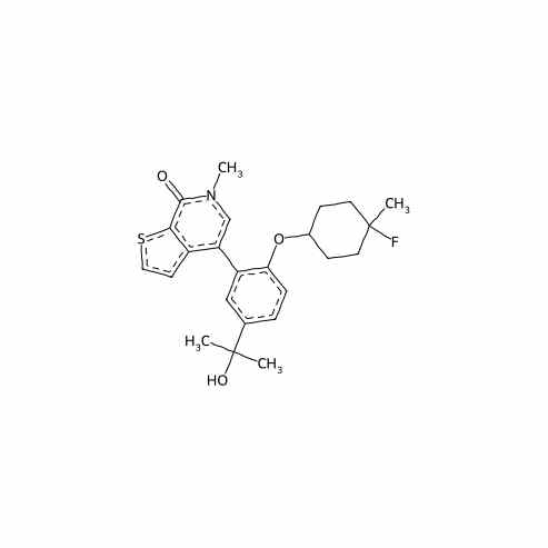 Cn1cc(-c2cc(C(C)(C)O)ccc2OC2CCC(C)(F)CC2)c2ccsc2c1=O